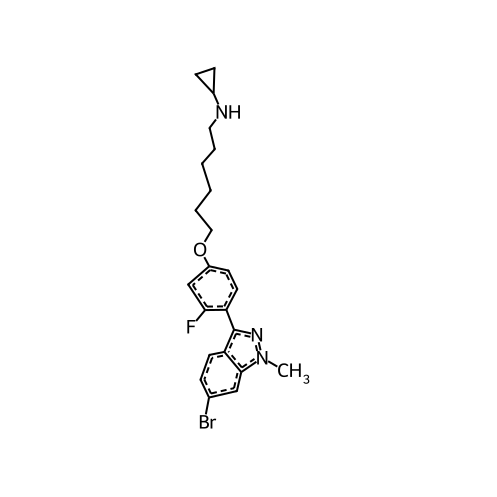 Cn1nc(-c2ccc(OCCCCCCNC3CC3)cc2F)c2ccc(Br)cc21